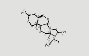 CC(N)C1C(O)CC2C3CC=C4CC(O)CCC4(C)C3CCC21C